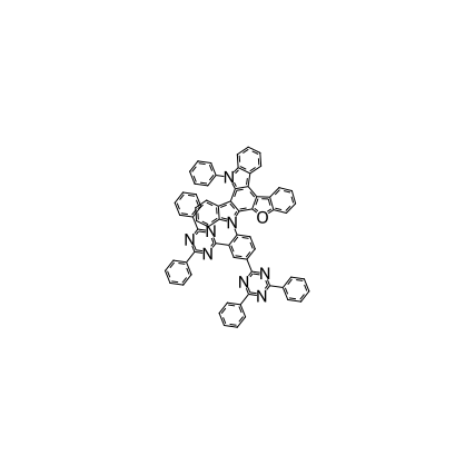 c1ccc(-c2nc(-c3ccccc3)nc(-c3ccc(-n4c5ccccc5c5c4c4oc6ccccc6c4c4c6ccccc6n(-c6ccccc6)c45)c(-c4nc(-c5ccccc5)nc(-c5ccccc5)n4)c3)n2)cc1